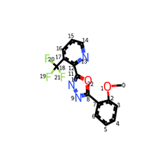 COc1ccccc1-c1nnc(-c2ncccc2C(F)(F)F)o1